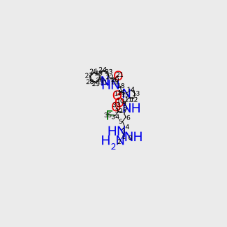 N=C(N)NCCC[C@H](NC(=O)[C@@H]1CCCN1C(=O)CNC(=O)c1ccc2ccccc2n1)C(=O)CF